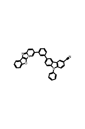 N#Cc1ccc2c(c1)c1cc(-c3cccc(-c4ccc5nc6c7ccccc7oc6n5c4)c3)ccc1n2-c1ccccc1